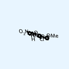 COc1cccc(COc2ccc(NC(=O)c3cc4cc([N+](=O)[O-])ccc4[nH]3)cc2Cl)c1